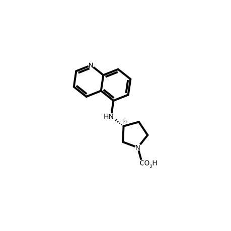 O=C(O)N1CC[C@@H](Nc2cccc3ncccc23)C1